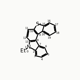 CCn1c2ccccc2c2c3c(ccc21)sc1ccccc13